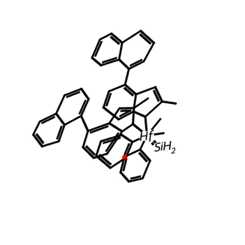 CC1=Cc2c(-c3cccc4ccccc34)cccc2[CH]1[Hf]([CH3])([CH3])(=[SiH2])([c]1ccccc1)([c]1ccccc1)[CH]1C(C)=Cc2c(-c3cccc4ccccc34)cccc21